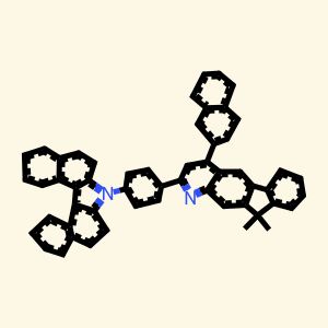 CC1(C)c2ccccc2-c2cc3c(-c4ccc5ccccc5c4)cc(-c4ccc(-n5c6ccc7ccccc7c6c6c7ccccc7ccc65)cc4)nc3cc21